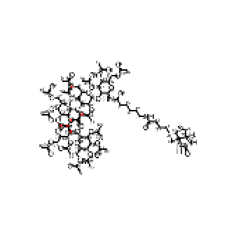 CC(=O)OCC1O[C@H](OC2[C@@H](NC(=O)CCCCCNC(=O)CCCC[C@@H]3SC[C@@H]4NC(=O)N[C@@H]43)OC(COC(C)=O)[C@@H](OC(C)=O)[C@H]2OC(C)=O)C(OC(C)=O)[C@@H](O[C@H]2OC(COC(C)=O)[C@@H](OC(C)=O)[C@H](O[C@H]3OC(COC(C)=O)[C@@H](OC(C)=O)[C@H](O[C@H]4OC(COC(C)=O)[C@@H](OC(C)=O)[C@@H](OC(C)=O)C4OC(C)=O)C3OC(C)=O)C2OC(C)=O)[C@@H]1OC(C)=O